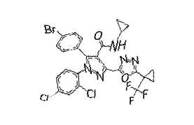 O=C(NC1CC1)c1c(-c2nnc(C3(C(F)(F)F)CC3)o2)nn(-c2ccc(Cl)cc2Cl)c1-c1ccc(Br)cc1